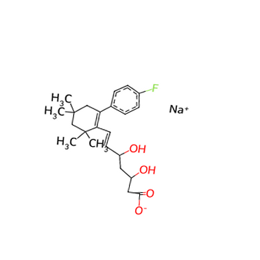 CC1(C)CC(c2ccc(F)cc2)=C(/C=C/C(O)CC(O)CC(=O)[O-])C(C)(C)C1.[Na+]